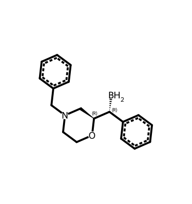 B[C@H](c1ccccc1)[C@@H]1CN(Cc2ccccc2)CCO1